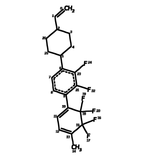 C=CC1CCC(c2ccc(C3=CC=C(C)C(F)(F)C3(F)F)c(F)c2F)CC1